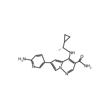 C[C@@H](Nc1c(C(N)=O)cnn2cc(-c3ccc(N)nc3)cc12)C1CC1